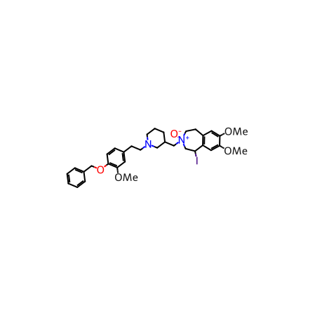 COc1cc2c(cc1OC)C(I)C[N+]([O-])(CC1CCCN(CCc3ccc(OCc4ccccc4)c(OC)c3)C1)CC2